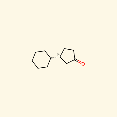 O=C1CC[C@@H](C2CCCCC2)C1